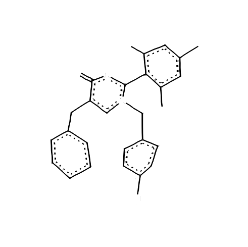 Cc1cc(C)c(-c2nc(=O)c(Cc3ccccc3)cn2Cc2ccc(Cl)cc2)c(C)c1